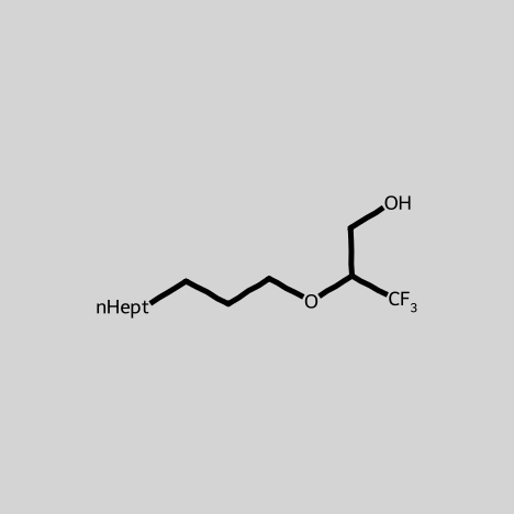 CCCCCCCCCCOC(CO)C(F)(F)F